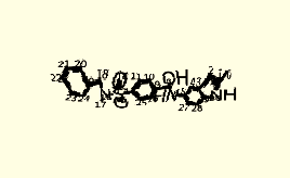 Cc1cc2cc(NC(O)c3ccc(S(=O)(=O)N(C)Cc4ccccc4)cc3)ccc2[nH]1